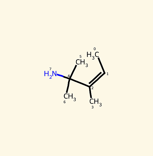 CC=C(C)C(C)(C)N